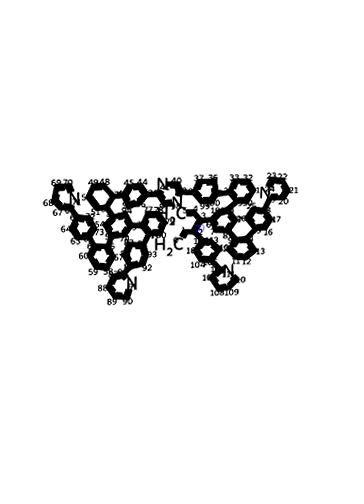 C=C/C(=C(\C=C)c1cc(-c2ccccc2-c2ccc(-c3ccccn3)cc2)cc(-c2ccccc2-c2ccc(-c3cnc(-c4ccc(C5C=CC=CC5c5cc(-c6ccccc6-c6ccc(-c7ccccn7)cc6)cc(-c6ccccc6-c6ccc(-c7ccccn7)cc6)c5)cc4)cn3)cc2)c1)c1ccc(-c2ccccn2)cc1